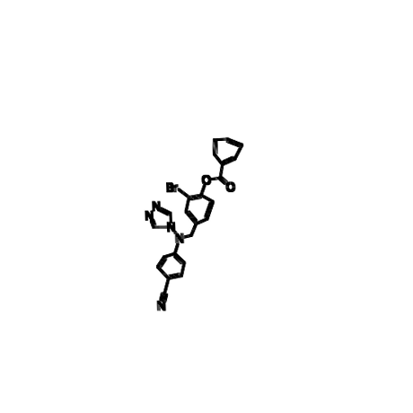 N#Cc1ccc(N(Cc2ccc(OC(=O)c3ccccc3)c(Br)c2)n2cnnc2)cc1